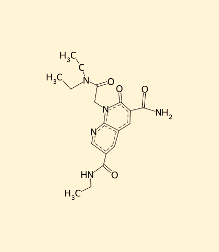 CCNC(=O)c1cnc2c(c1)cc(C(N)=O)c(=O)n2CC(=O)N(CC)CC